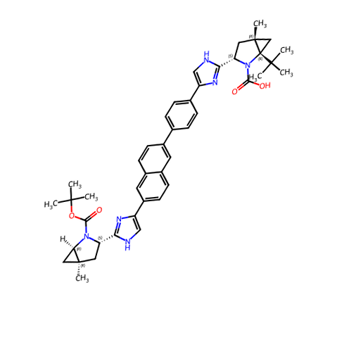 CC(C)(C)OC(=O)N1[C@H](c2nc(-c3ccc4cc(-c5ccc(-c6c[nH]c([C@@H]7C[C@]8(C)C[C@]8(C(C)(C)C)N7C(=O)O)n6)cc5)ccc4c3)c[nH]2)C[C@@]2(C)C[C@@H]12